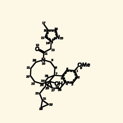 COc1ccc2c(c1)C13CCN(C(=O)Cn4cc(C)cn4)CCCCCC1(O)C(C2)N(CC1CC1)CC3